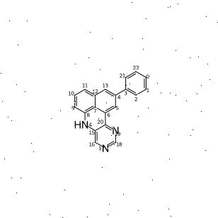 c1ccc(-c2cc3c4c(cccc4c2)Nc2cncnc2-3)cc1